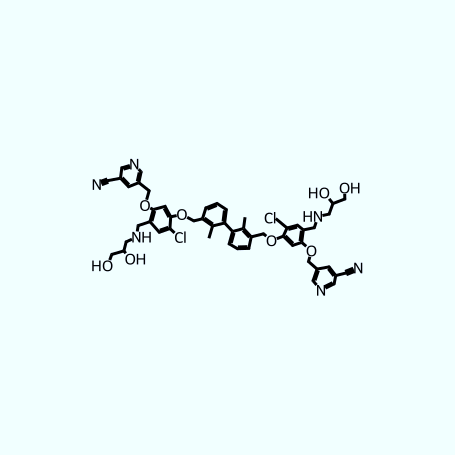 Cc1c(COc2cc(OCc3cncc(C#N)c3)c(CNCC(O)CO)cc2Cl)cccc1-c1cccc(COc2cc(OCc3cncc(C#N)c3)c(CNCC(O)CO)cc2Cl)c1C